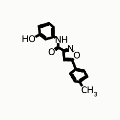 Cc1ccc(-c2cc(C(=O)Nc3cccc(O)c3)no2)cc1